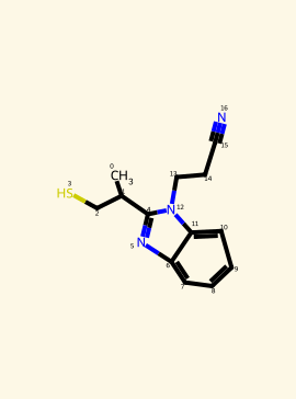 CC(CS)c1nc2ccccc2n1CCC#N